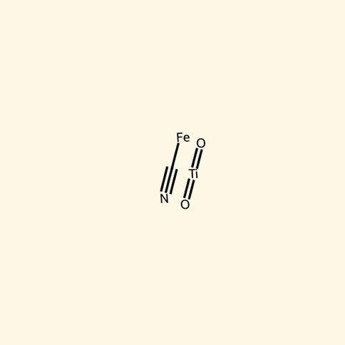 N#[C][Fe].[O]=[Ti]=[O]